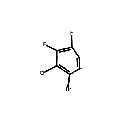 Fc1c[c]c(Br)c(Cl)c1F